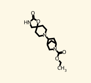 CCOC(=O)N1CC2CC1CC2N1CCC2(CC1)CNC(=O)O2